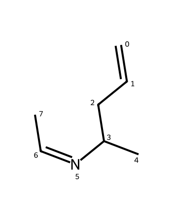 C=CCC(C)/N=C\C